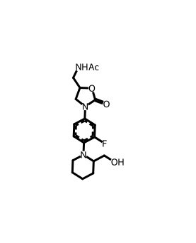 CC(=O)NCC1CN(c2ccc(N3CCCCC3CO)c(F)c2)C(=O)O1